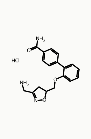 Cl.NCC1=NOC(COc2ccccc2-c2ccc(C(N)=O)cc2)C1